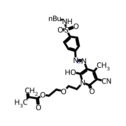 C=C(C)C(=O)OCCOCCn1c(O)c(/N=N/c2ccc(S(=O)(=O)NCCCC)cc2)c(C)c(C#N)c1=O